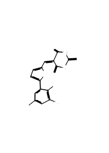 Cc1cc(-c2ccc(C=C3C(=O)NC(=S)NC3=O)o2)c(C)c([N+](=O)[O-])c1